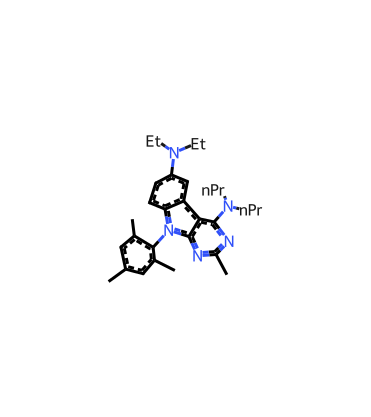 CCCN(CCC)c1nc(C)nc2c1c1cc(N(CC)CC)ccc1n2-c1c(C)cc(C)cc1C